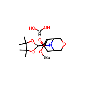 CC(C)(C)OC(=O)N1C2C=C(B3OC(C)(C)C(C)(C)O3)CC1COC2.OBO